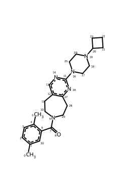 Cc1ccc(C)c(C(=O)N2CCc3cnc(N4CCN(C5CCC5)CC4)nc3CC2)c1